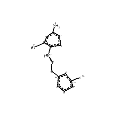 CCc1cc(N)ccc1NCCc1cccc(F)c1